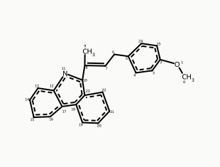 COc1ccc(CC=C(C)c2nc3ccccc3c3ccccc23)cc1